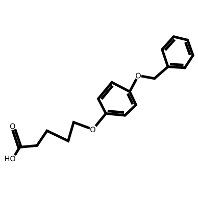 O=C(O)CCCCOc1ccc(OCc2ccccc2)cc1